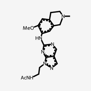 COc1cc2c(cc1Nc1ncc3cnn(CCNC(C)=O)c3n1)CN(C)CC2